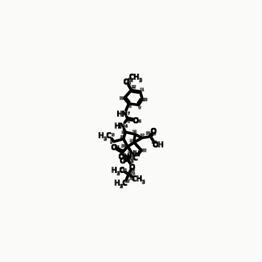 CCC1C(NC(=O)Nc2cccc(OC)c2)C2C(C(=O)O)C2(CC)C1(NC(=O)OC(C)(C)C)C(=O)O